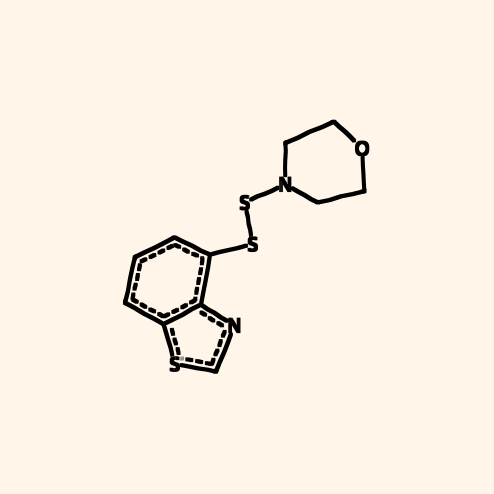 c1cc(SSN2CCOCC2)c2ncsc2c1